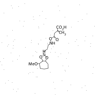 C=C(CC(=O)ONCCC[SiH]1OC2CCCCC(OC)C2O1)C(=O)O